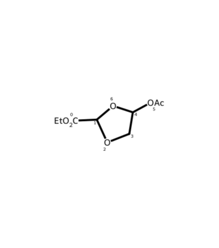 CCOC(=O)C1OCC(OC(C)=O)O1